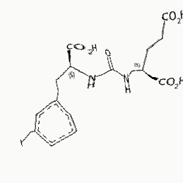 O=C(O)CC[C@H](NC(=O)N[C@@H](Cc1cccc(I)c1)C(=O)O)C(=O)O